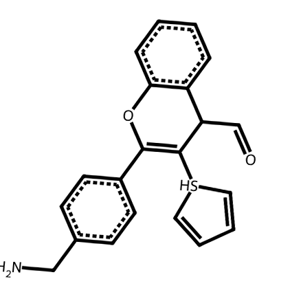 NCc1ccc(C2=C([SH]3C=CC=C3)C(C=O)c3ccccc3O2)cc1